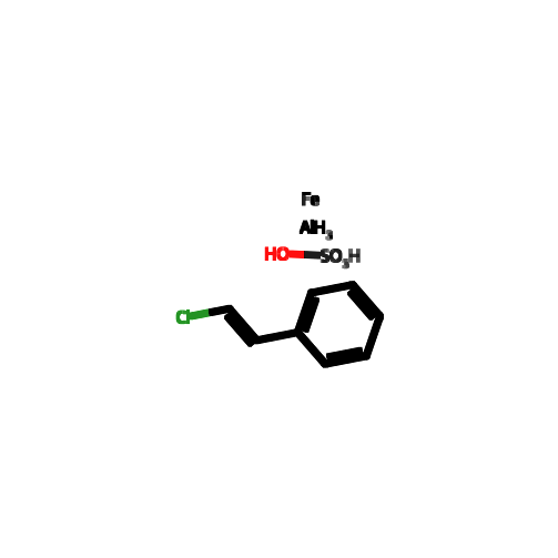 ClC=Cc1ccccc1.O=S(=O)(O)O.[AlH3].[Fe]